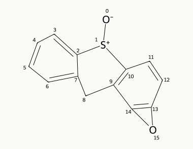 [O-][S+]1c2ccccc2Cc2c1ccc1c2O1